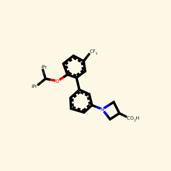 CC(C)C(Oc1ccc(C(F)(F)F)cc1-c1cccc(N2CC(C(=O)O)C2)c1)C(C)C